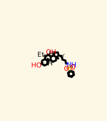 CC[C@@H]1C2C[C@H](O)CCC2(C)[C@H]2CCC3(C)C([C@H](C)CCCNS(=O)(=O)c4ccccc4)CC[C@H]3C2[C@@H]1O